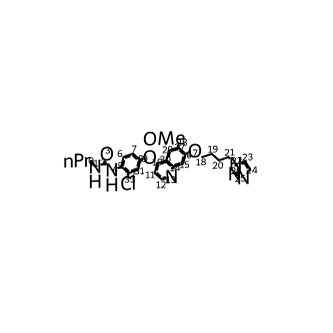 CCCNC(=O)Nc1ccc(Oc2ccnc3cc(OCCCCn4ccnn4)c(OC)cc23)cc1Cl